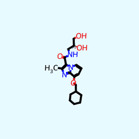 Cc1nc2c(OCC3CCCCC3)cccn2c1C(=O)NC[C@@H](O)CO